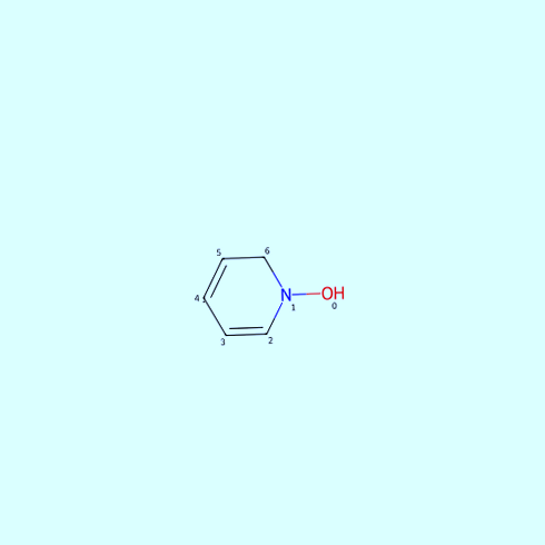 ON1C=C[C]=CC1